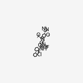 COc1cc2c(cc1-c1cnc(C)nc1)c(C(C)=O)cn2CC(=O)N1C[C@H](F)C[C@H]1C(=O)Nc1cccc(-c2ccccc2Cl)c1F